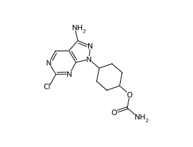 NC(=O)OC1CCC(n2nc(N)c3cnc(Cl)nc32)CC1